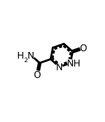 NC(=O)c1ccc(=O)[nH]n1